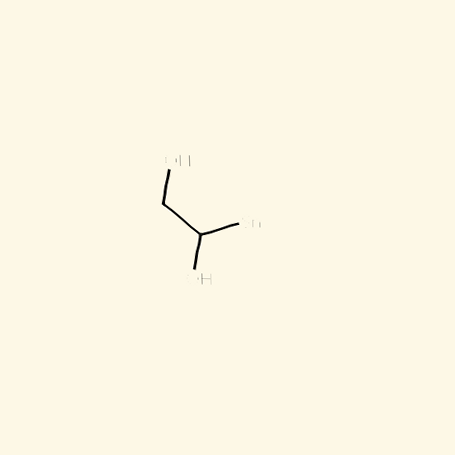 OC[CH](O)[Sn]